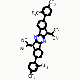 N#CC(C#N)=C1c2cc(-c3ccc(C(F)(F)F)cc3C(F)(F)F)ccc2-c2nc3c(nc21)-c1ccc(-c2ccc(C(F)(F)F)cc2C(F)(F)F)cc1C3=C(C#N)C#N